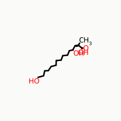 CC(=CC(O)CCCCCCCCCCCO)C(=O)O